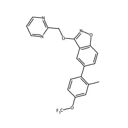 Cc1cc(OC(F)(F)F)ccc1-c1ccc2onc(OCc3ncccn3)c2c1